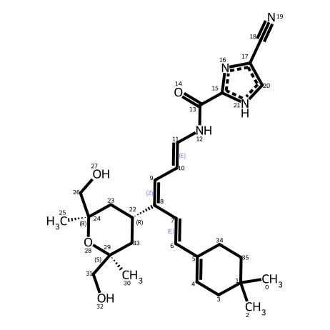 CC1(C)CC=C(/C=C/C(=C\C=C\NC(=O)c2nc(C#N)c[nH]2)[C@H]2C[C@](C)(CO)O[C@](C)(CO)C2)CC1